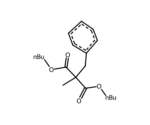 CCCCOC(=O)C(C)(Cc1ccccc1)C(=O)OCCCC